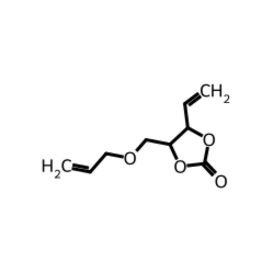 C=CCOCC1OC(=O)OC1C=C